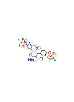 O=C1NCC[C@@H]1C(c1c(Cl)cc(OS(=O)(=O)C(F)(F)F)cc1Cl)[C@H]1CCc2nn(S(=O)(=O)C(F)(F)F)cc2C1